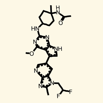 COc1nc(NC2CCC(C)(NC(C)=O)CC2)nc2[nH]cc(-c3cnc4nc(C)n(CC(F)F)c4c3)c12